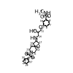 CNS(=O)(=O)c1cccc(OCC(O)CNC2COC3(CCN(S(=O)(=O)c4ccsc4)CC3)C2)c1